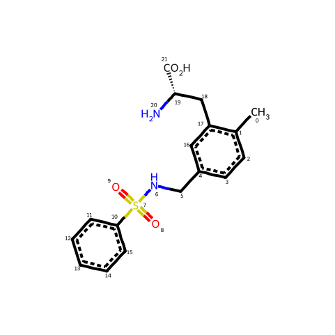 Cc1ccc(CNS(=O)(=O)c2ccccc2)cc1C[C@H](N)C(=O)O